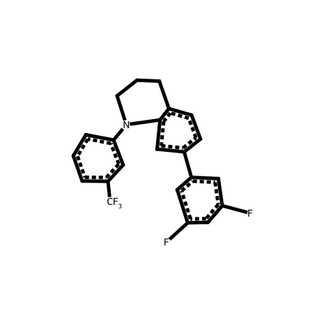 Fc1cc(F)cc(-c2ccc3c(c2)N(c2cccc(C(F)(F)F)c2)CCC3)c1